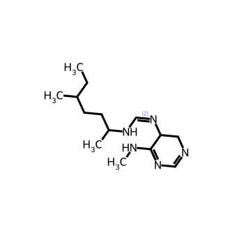 CCC(C)CCC(C)N/C=N\C1CN=CN=C1NC